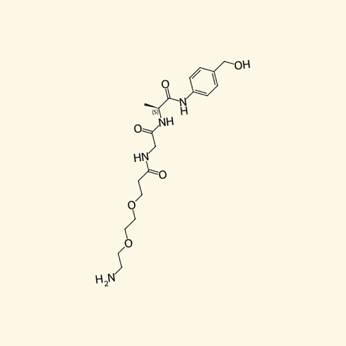 C[C@H](NC(=O)CNC(=O)CCOCCOCCN)C(=O)Nc1ccc(CO)cc1